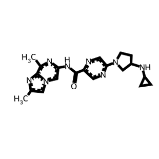 Cc1cn2cc(NC(=O)c3cnc(N4CCC(NC5CC5)C4)cn3)nc(C)c2n1